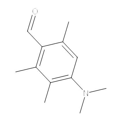 Cc1cc(N(C)C)c(C)c(C)c1C=O